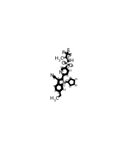 CCc1ccc2c(C#N)c(-c3ccc(S(=O)(=O)N[C@H](C)C(F)(F)F)cn3)n(C3CCCC3)c2c1